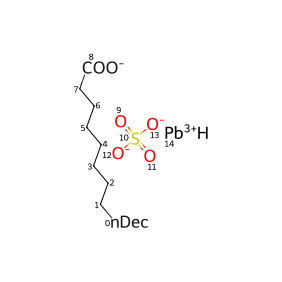 CCCCCCCCCCCCCCCCCC(=O)[O-].O=S(=O)([O-])[O-].[PbH+3]